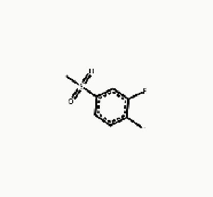 [CH2]c1ccc(S(C)(=O)=O)cc1F